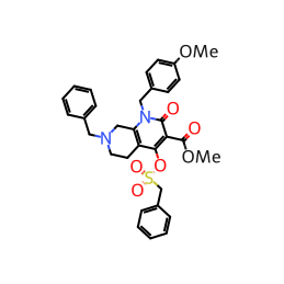 COC(=O)c1c(OS(=O)(=O)Cc2ccccc2)c2c(n(Cc3ccc(OC)cc3)c1=O)CN(Cc1ccccc1)CC2